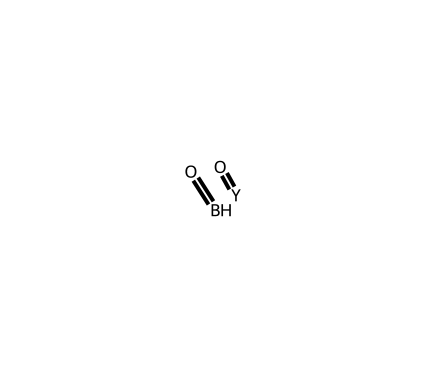 B=O.[O]=[Y]